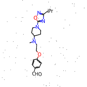 CC(C)c1noc(N2CCC(N(C)CCOc3ccc(C=O)cc3)CC2)n1